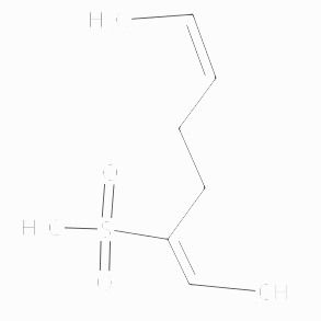 C/C=C\CC/C(=C\C)S(C)(=O)=O